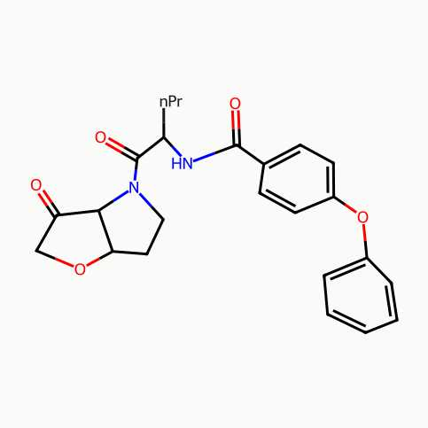 CCCC(NC(=O)c1ccc(Oc2ccccc2)cc1)C(=O)N1CCC2OCC(=O)C21